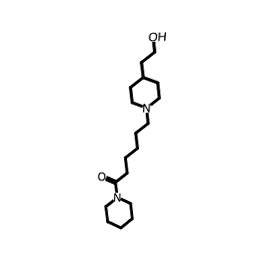 O=C(CCCCCN1CCC(CCO)CC1)N1CCCCC1